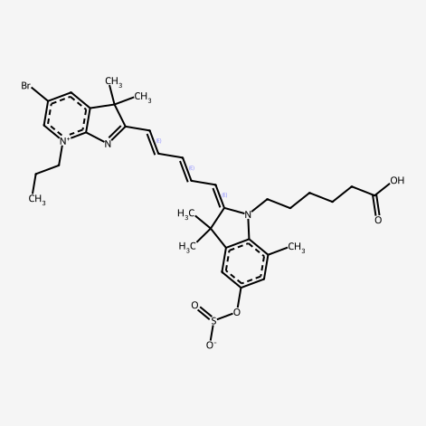 CCC[n+]1cc(Br)cc2c1N=C(/C=C/C=C/C=C1/N(CCCCCC(=O)O)c3c(C)cc(OS(=O)[O-])cc3C1(C)C)C2(C)C